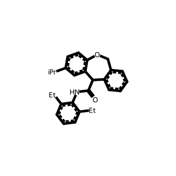 CCc1cccc(CC)c1NC(=O)C1c2ccccc2COc2ccc(C(C)C)cc21